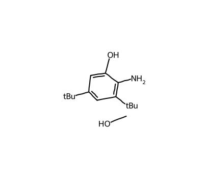 CC(C)(C)c1cc(O)c(N)c(C(C)(C)C)c1.CO